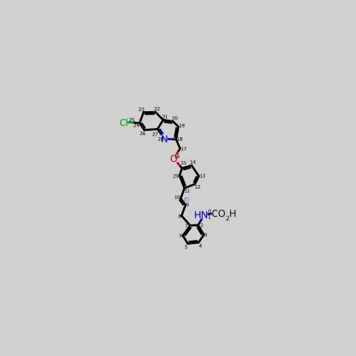 O=C(O)Nc1ccccc1C/C=C/c1cccc(OCc2ccc3ccc(Cl)cc3n2)c1